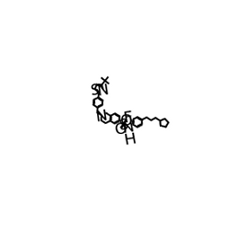 CC(C)(C)c1csc(-c2ccc(CN3CCc4cc(S(=O)(=O)Nc5ccc(CCCC6CCCC6)cc5F)ccc4C3)cc2)n1